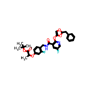 CC(Oc1ccc(CNC(=O)c2cc(F)cnc2OC2=COC(Cc3ccccc3)O2)c(F)c1)C(=O)OC(C)(C)C